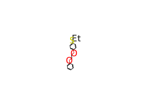 CCSc1ccc(OCCOc2ccccc2)cc1